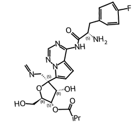 C=NC[C@@]1(c2ccc3c(NC(=O)[C@@H](N)Cc4ccc(F)cc4)ncnn23)O[C@H](CO)[C@@H](OC(=O)C(C)C)[C@H]1O